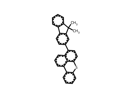 CC1(C)c2ccccc2-c2ccc(-c3ccc4c5c(cccc35)-c3ccccc3S4)cc21